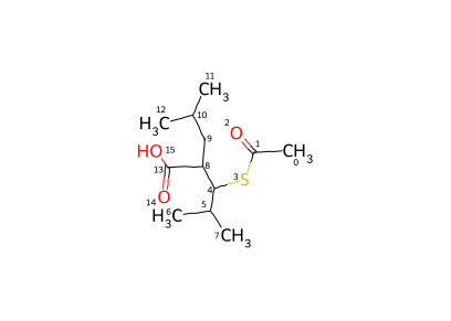 CC(=O)SC(C(C)C)C(CC(C)C)C(=O)O